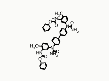 Cc1ccc(N(C(N)=O)c2ccc(-c3ccc(N(C(N)=O)c4ccc(C)c(NC(=O)Oc5ccccc5)c4)cc3)cc2)cc1NC(=O)Oc1ccccc1